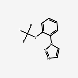 FC(F)(F)Sc1ccccc1-n1ccnn1